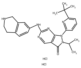 CC(C)n1c(=O)c2cnc(Nc3ccc4c(c3)CNCC4)nc2n1-c1cccc(C(C)(C)C)n1.Cl.Cl